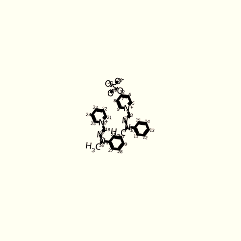 CN(N=C[n+]1ccccc1)c1ccccc1.CN(N=C[n+]1ccccc1)c1ccccc1.O=S(=O)([O-])[O-]